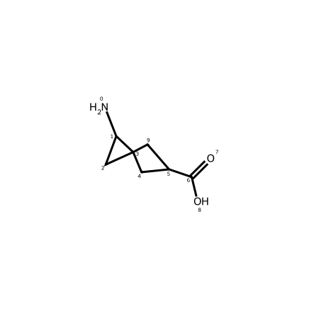 NC1CC12CC(C(=O)O)C2